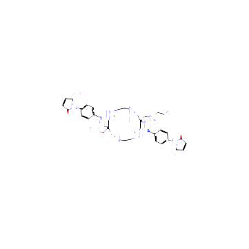 CCCNCC1(NCc2ccc(N3C(=O)C=CC3=O)cc2)CNCCNCC(CO)(NCc2ccc(N3C(=O)C=CC3=O)cc2)CNCCNC1